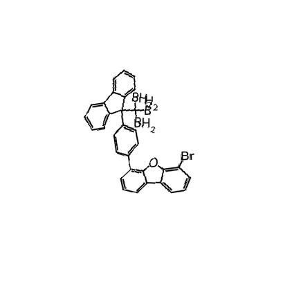 BC(B)(B)C1(c2ccc(-c3cccc4c3oc3c(Br)cccc34)cc2)c2ccccc2-c2ccccc21